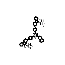 CC1(C)c2ccccc2-c2ccc(-c3ccc(-c4nc(-c5ccc(-c6ccc7c(c6)C(C)(C)c6ccccc6-7)cc5)nc(-c5ccc6ccccc6c5)n4)cc3)cc21